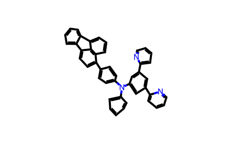 c1ccc(N(c2ccc(-c3ccc4c5c(cccc35)-c3ccccc3-4)cc2)c2cc(-c3ccccn3)cc(-c3ccccn3)c2)cc1